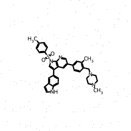 Cc1ccc(S(=O)(=O)n2cc(-c3ccc4[nH]ccc4c3)c3cc(-c4ccc(CN5CCN(C)CC5)c(C)c4)cnc32)cc1